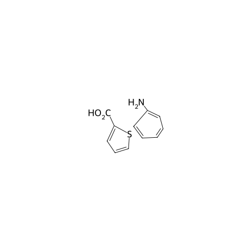 Nc1ccccc1.O=C(O)c1cccs1